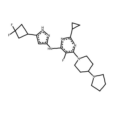 Fc1c(Nc2cc(C3CC(F)(F)C3)[nH]n2)nc(C2CC2)nc1N1CCC(N2CCCC2)CC1